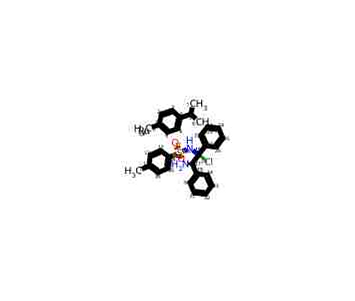 Cc1ccc(C(C)C)cc1.Cc1ccc(S(=O)(=O)N[C@](Cl)(c2ccccc2)[C@H](N)c2ccccc2)cc1.[Ru]